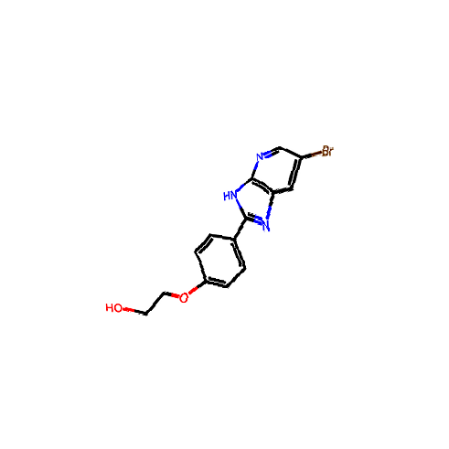 OCCOc1ccc(-c2nc3cc(Br)cnc3[nH]2)cc1